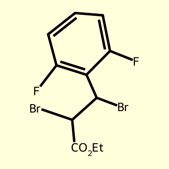 CCOC(=O)C(Br)C(Br)c1c(F)cccc1F